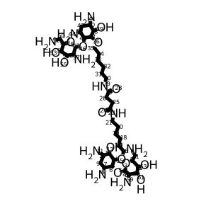 NCC1OC(OC2C(N)CC(N)C(O)C2OCCCCCCNC(=O)CCC(=O)NCCCCCCOC2C(O)C(N)CC(N)C2OC2OC(CN)C(O)C(O)C2N)C(N)C(O)C1O